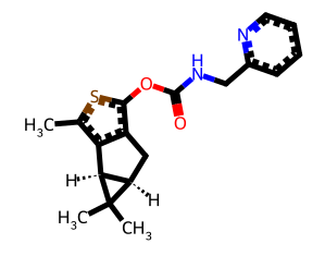 Cc1sc(OC(=O)NCc2ccccn2)c2c1[C@H]1[C@@H](C2)C1(C)C